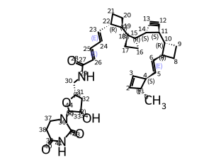 C[C@@H]1C=C[C@H]1/C=C/[C@@H]1CC[C@H]1[C@@H]1C#C[C@H]1[C@@H]1CC[C@H]1[C@@H]1CC[C@H]1/C=C/C=C/C(=O)NC[C@@H]1C[C@@H](O)[C@H](N2CCC(=O)NC2=O)O1